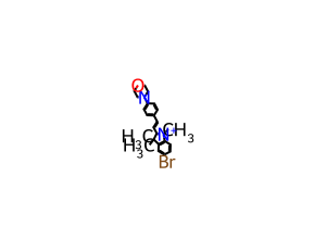 C[N+]1=C(/C=C/c2ccc(N3CCOCC3)cc2)C(C)(C)c2cc(Br)ccc21